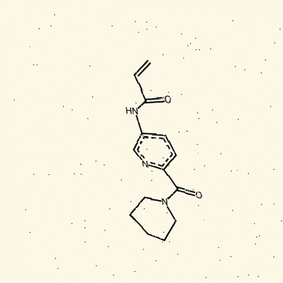 C=CC(=O)Nc1ccc(C(=O)N2CCCCC2)nc1